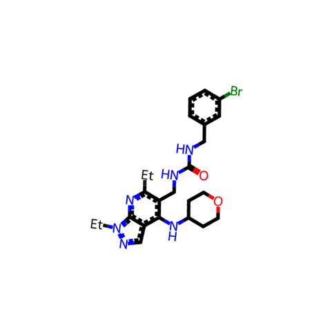 CCc1nc2c(cnn2CC)c(NC2CCOCC2)c1CNC(=O)NCc1cccc(Br)c1